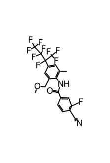 COCc1cc(C(F)(C(F)(F)F)C(F)(F)C(F)(F)F)cc(C)c1NC(=O)c1ccc(C#N)c(F)c1